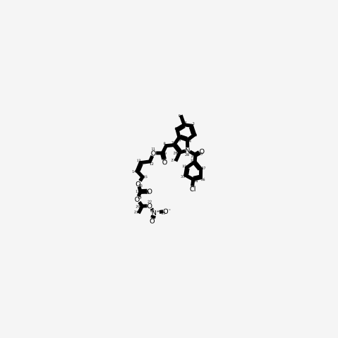 Cc1ccc2c(c1)c(CC(=O)OC/C=C\COC(=O)OC(C)O[N+](=O)[O-])c(C)n2C(=O)c1ccc(Cl)cc1